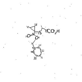 O=C(O)CSC1(C(=O)OCc2ccccc2)CC1